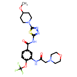 COC1CCN(c2nnc(NC(=O)c3ccc(OC(F)(F)F)c(NC(=O)CN4CCOCC4)c3)s2)CC1